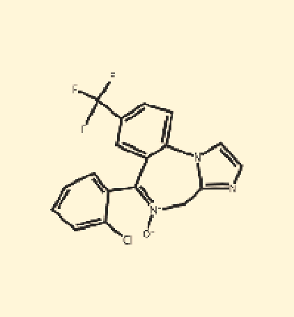 [O-][N+]1=C(c2ccccc2Cl)c2cc(C(F)(F)F)ccc2-n2ccnc2C1